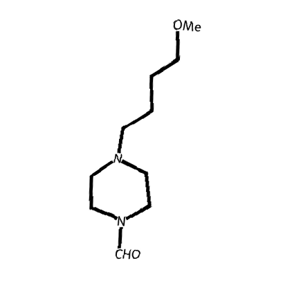 COCCCCN1CCN(C=O)CC1